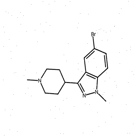 CN1CCC(c2nn(C)c3ccc(Br)cc23)CC1